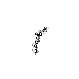 O=C(O)CC(=O)Nc1ccc2c(c1)c(=O)n1n2CCN(c2ccc(N3C[C@H](CNC(=O)C(F)F)OC3=O)cc2F)CC1